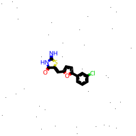 N=C1NC(=O)/C(=C/c2ccc(-c3cccc(Cl)c3)o2)S1